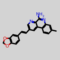 Cc1ccc2c(c1)nc(N)c1ncc(C=Cc3ccc4c(c3)OCO4)cc12